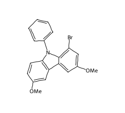 COc1ccc2c(c1)c1cc(OC)cc(Br)c1n2-c1ccccc1